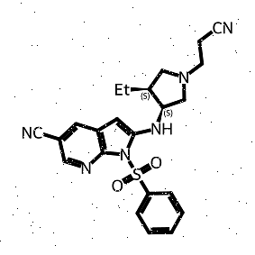 CC[C@H]1CN(CCC#N)C[C@H]1Nc1cc2cc(C#N)cnc2n1S(=O)(=O)c1ccccc1